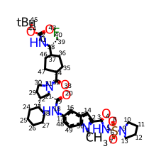 Cn1c(C(=O)NS(=O)(=O)N2CCCC2)cc2cc(NC(=O)[C@@H]3[C@H](C4CCCCC4)CCN3C(=O)C3CCC([C@@H](CF)NC(=O)OC(C)(C)C)CC3)ccc21